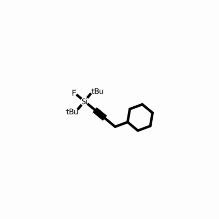 CC(C)(C)[Si](F)(C#CCC1CCCCC1)C(C)(C)C